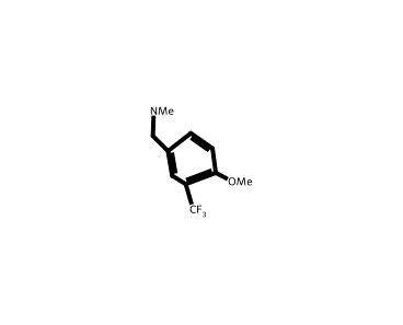 CNCc1ccc(OC)c(C(F)(F)F)c1